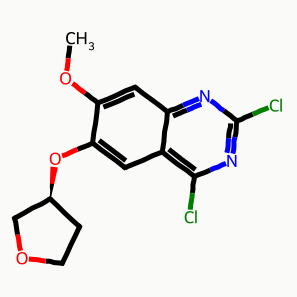 COc1cc2nc(Cl)nc(Cl)c2cc1O[C@H]1CCOC1